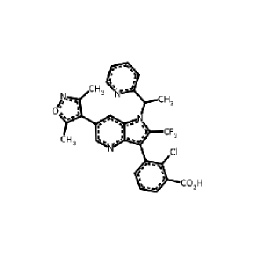 Cc1noc(C)c1-c1cnc2c(-c3cccc(C(=O)O)c3Cl)c(C(F)(F)F)n(C(C)c3ccccn3)c2c1